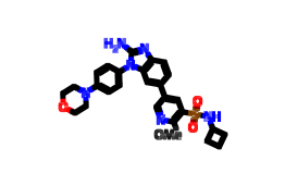 COc1ncc(-c2ccc3nc(N)n(-c4ccc(N5CCOCC5)cc4)c3c2)cc1S(=O)(=O)NC1CCC1